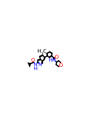 Cc1ccc(C(=O)NC2CCOCC2)cc1-c1ccc2cc(NC(=O)C3CC3)ncc2c1